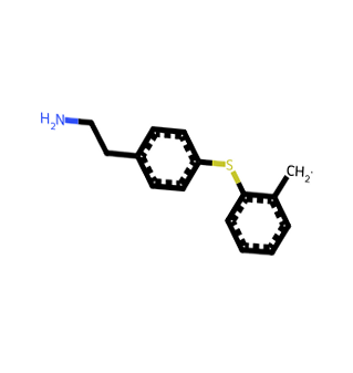 [CH2]c1ccccc1Sc1ccc(CCN)cc1